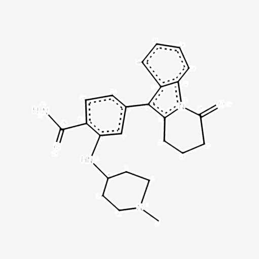 CN1CCC(Nc2cc(-c3c4n(c5ccccc35)C(=O)CCC4)ccc2C(N)=O)CC1